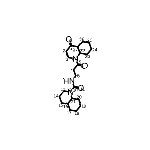 O=C1CCN(C(=O)CCNC(=O)N2CCCC3CCCCC32)C2CCCCC12